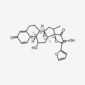 CC1C[C@H]2[C@@H]3CCC4=CC(=O)C=C[C@]4(C)[C@H]3C(O)C[C@]2(C)[C@@]1(OC(=O)c1ccco1)C(=O)CO